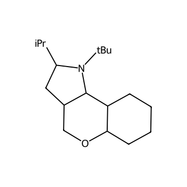 CC(C)C1CC2COC3CCCCC3C2N1C(C)(C)C